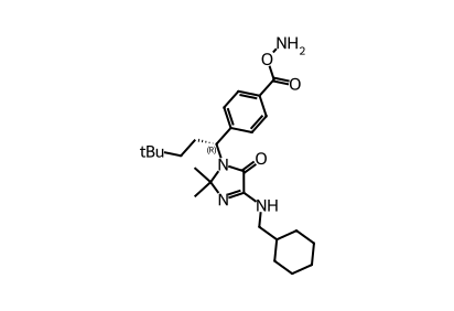 CC(C)(C)CC[C@H](c1ccc(C(=O)ON)cc1)N1C(=O)C(NCC2CCCCC2)=NC1(C)C